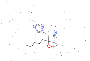 CCCCCC(O)(Cn1cncn1)C1(C#N)CC1